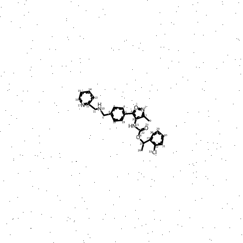 Cc1noc(-c2ccc(CNCc3ccccn3)cc2)c1NC(=O)OC(C)c1ccccc1Cl